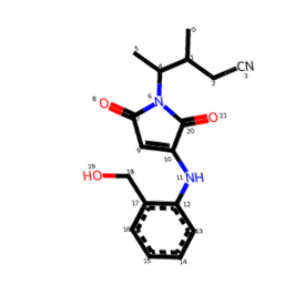 CC(CC#N)C(C)N1C(=O)C=C(Nc2ccccc2CO)C1=O